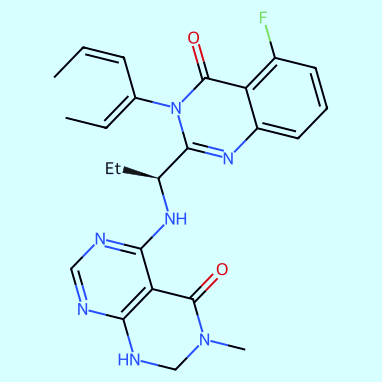 C/C=C\C(=C/C)n1c([C@H](CC)Nc2ncnc3c2C(=O)N(C)CN3)nc2cccc(F)c2c1=O